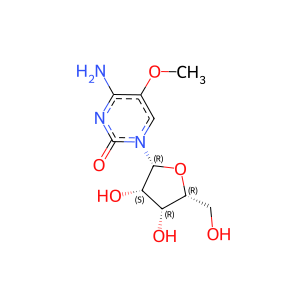 COc1cn([C@@H]2O[C@H](CO)[C@H](O)[C@@H]2O)c(=O)nc1N